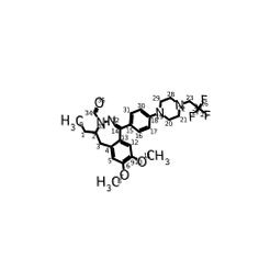 CCC1Cc2cc(OC)c(OC)cc2C(c2ccc(N3CCN(CC(F)(F)F)CC3)cc2)=NN1C=O